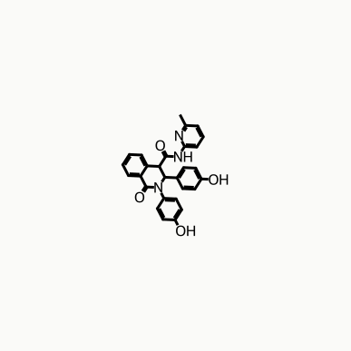 Cc1cccc(NC(=O)C2c3ccccc3C(=O)N(c3ccc(O)cc3)C2c2ccc(O)cc2)n1